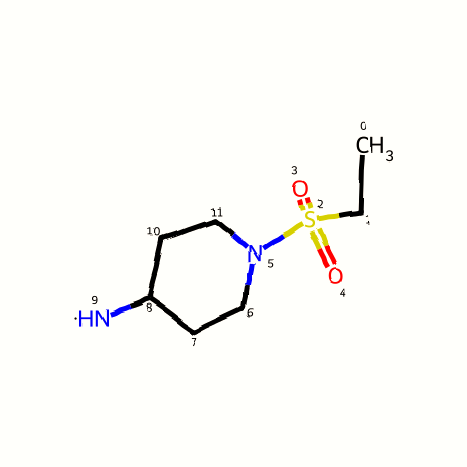 CCS(=O)(=O)N1CCC([NH])CC1